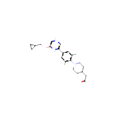 O=C(O)CC1CCN(c2c(F)cc(-c3cncc(OCC4CC4)n3)cc2F)CC1